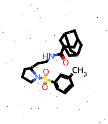 Cc1cccc(S(=O)(=O)N2CCCC2CCNC(=O)C23CC4CC(CC(C4)C2)C3)c1